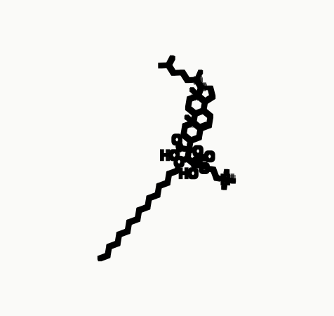 CCCCCCCCCCCCCCCCOC(CO)C(OP(=O)([O-])OCC[N+](C)(C)C)(C(=O)O)C1CC[C@@]2(C)C(=CCC3C2CC[C@@]2(C)C3CC[C@@H]2[C@H](C)CCCC(C)C)C1